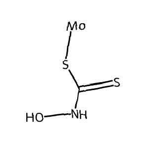 ONC(=S)[S][Mo]